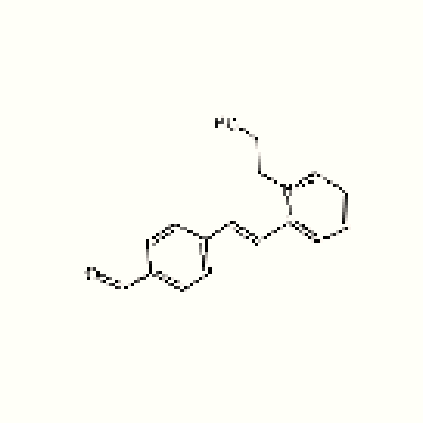 O=Cc1ccc(C=Cc2cccc[n+]2CCO)cc1